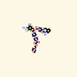 Nc1c(Cl)cc(C[C@@H](OC(=O)N2CCC(N3CCc4ccccc4NC3=O)CC2)C(=O)N2CCC(N3CCN(C(=O)C(=O)OCCN4CCOCC4)CC3)CC2)cc1C(F)(F)F